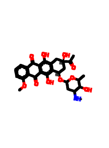 COc1cccc2c1C(=O)c1c(O)c3c(c(O)c1C2=O)C[C@@](O)(C(C)=O)C[C@@H]3OC1CC([NH])C(O)C(C)O1